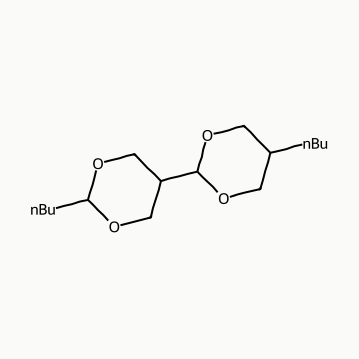 CCCCC1COC(C2COC(CCCC)OC2)OC1